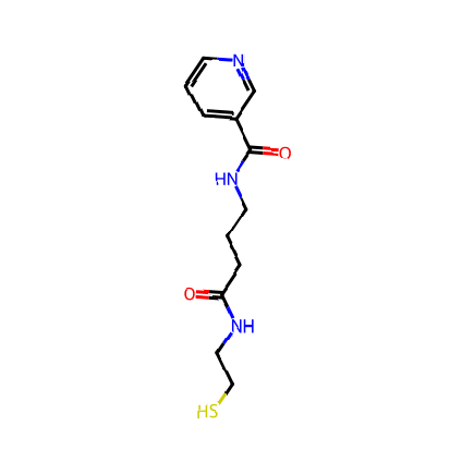 O=C(CCCNC(=O)c1cccnc1)NCCS